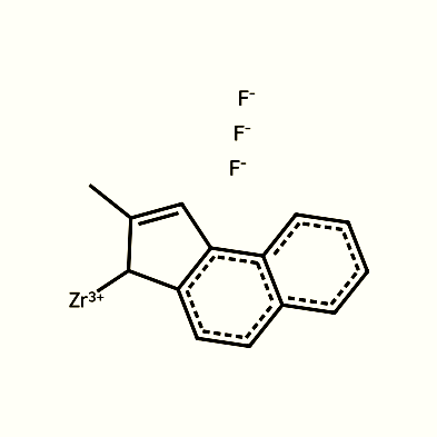 CC1=Cc2c(ccc3ccccc23)[CH]1[Zr+3].[F-].[F-].[F-]